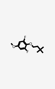 COc1cc(F)c(OCCC(C)(C)C)c(F)c1